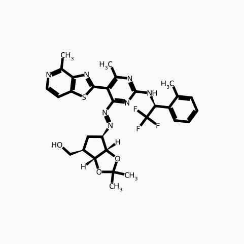 Cc1ccccc1[C@H](Nc1nc(C)c(-c2nc3c(C)nccc3s2)c(N=N[C@@H]2C[C@H](CO)[C@H]3OC(C)(C)O[C@H]32)n1)C(F)(F)F